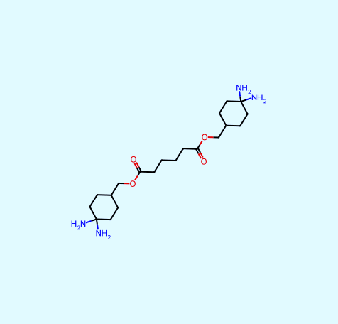 NC1(N)CCC(COC(=O)CCCCC(=O)OCC2CCC(N)(N)CC2)CC1